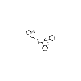 O=[N+]1CCCC1CCCON=C1c2ccccc2OC2(c3ccccc3)CC12